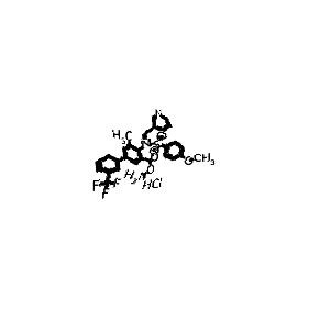 COc1ccc(S(=O)(=O)N(Cc2cccnc2)c2c(C)cc(-c3cccc(C(F)(F)F)c3)cc2C(=O)ON)cc1.Cl